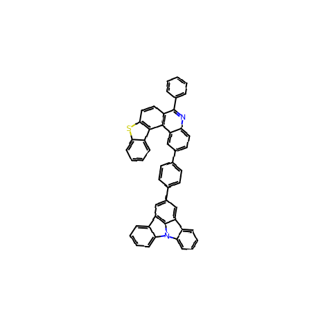 c1ccc(-c2nc3ccc(-c4ccc(-c5cc6c7ccccc7n7c8ccccc8c(c5)c67)cc4)cc3c3c2ccc2sc4ccccc4c23)cc1